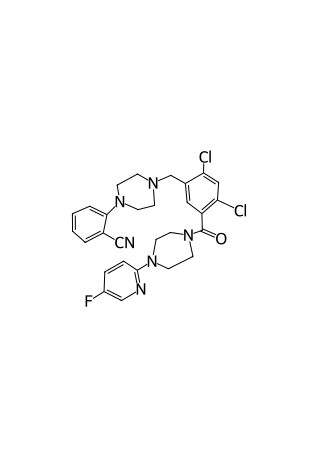 N#Cc1ccccc1N1CCN(Cc2cc(C(=O)N3CCN(c4ccc(F)cn4)CC3)c(Cl)cc2Cl)CC1